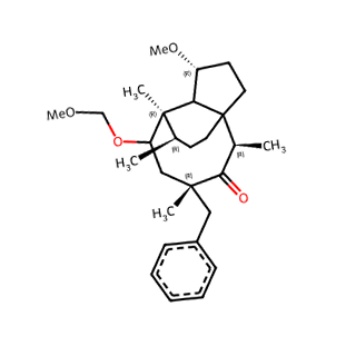 COCOC1C[C@@](C)(Cc2ccccc2)C(=O)[C@H](C)C23CC[C@@H](C)[C@]1(C)C2[C@H](OC)CC3